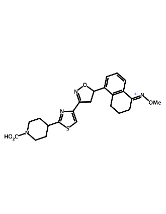 CO/N=C1\CCCc2c1cccc2C1CC(c2csc(C3CCN(C(=O)O)CC3)n2)=NO1